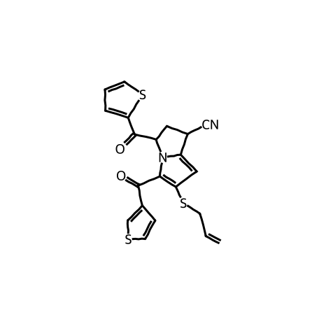 C=CCSc1cc2n(c1C(=O)c1ccsc1)C(C(=O)c1cccs1)CC2C#N